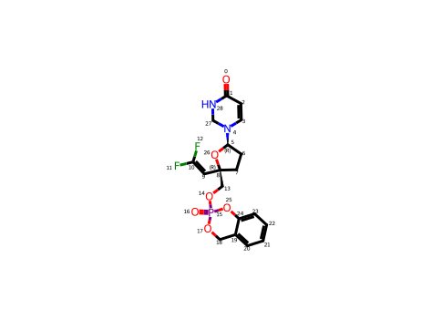 O=C1C=CN([C@H]2CC[C@@](C=C(F)F)(COP3(=O)OCc4ccccc4O3)O2)CN1